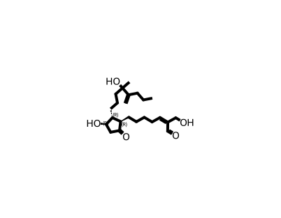 C=C(CCC)C(C)(O)CCC[C@H]1[C@H](O)CC(=O)[C@@H]1CCCCC=C(C=O)CO